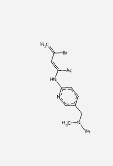 C=C(Br)/C=C(/Nc1ccc(CN(C)C(C)C)cn1)C(C)=O